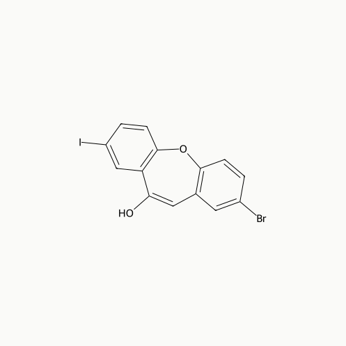 OC1=Cc2cc(Br)ccc2Oc2ccc(I)cc21